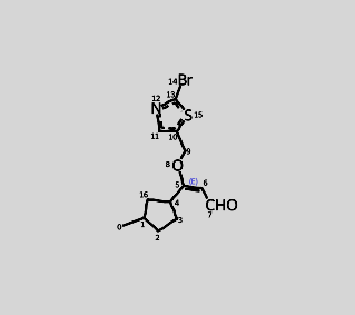 CC1CCC(/C(=C\C=O)OCc2cnc(Br)s2)C1